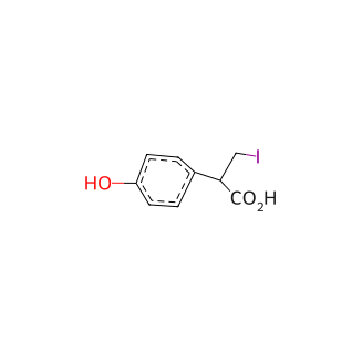 O=C(O)C(CI)c1ccc(O)cc1